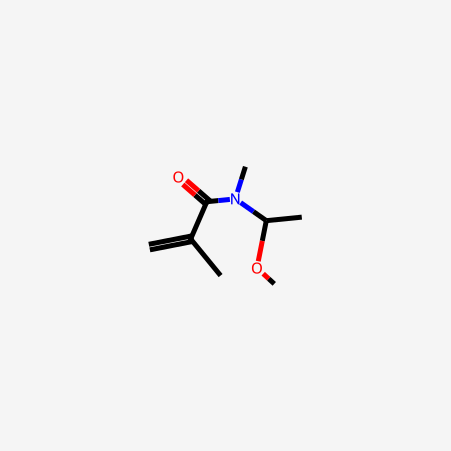 C=C(C)C(=O)N(C)C(C)OC